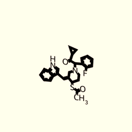 CC(=O)SC1CCN(C(C(=O)C2CC2)c2ccccc2F)C/C1=C\c1c[nH]c2ccccc12